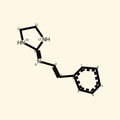 C(=Cc1ccccc1)N=C1NCCN1